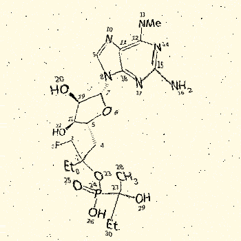 CCC(CF)(C[C@H]1O[C@@H](n2cnc3c(NC)nc(N)nc32)[C@H](O)[C@@H]1O)OP(=O)(O)C(C)(O)CC